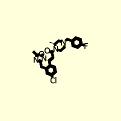 Cc1nc(Cc2cc(Cl)ccc2C=CC(=O)N2CCN(Cc3ccc(F)cc3)C[C@H]2C)no1